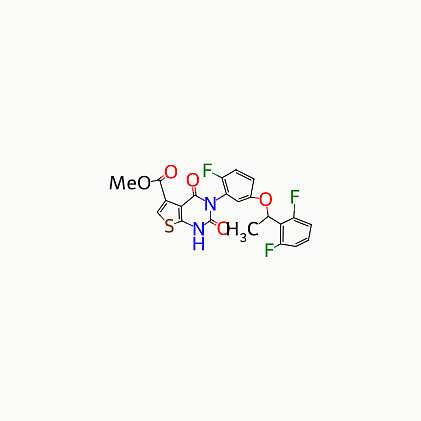 COC(=O)c1csc2[nH]c(=O)n(-c3cc(OC(C)c4c(F)cccc4F)ccc3F)c(=O)c12